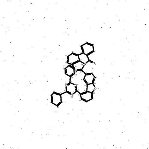 O=c1c2ccccc2c2cccc3nc(-c4ccc5oc6cccc(-c7nc(-c8ccccc8)nc(-c8ccccc8)n7)c6c5c4)n1c32